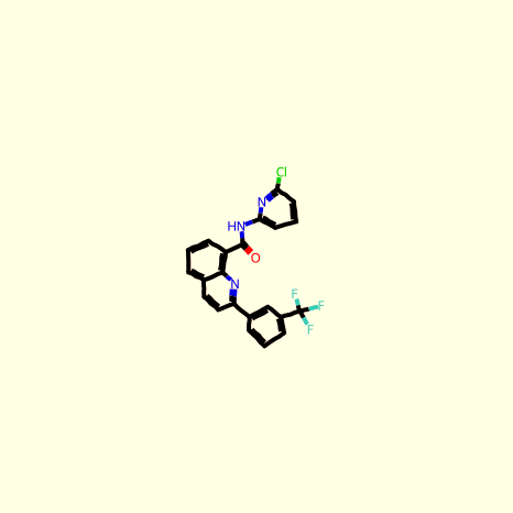 O=C(Nc1cccc(Cl)n1)c1cccc2ccc(-c3cccc(C(F)(F)F)c3)nc12